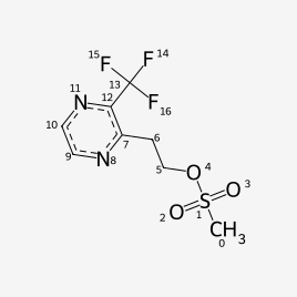 CS(=O)(=O)OCCc1nccnc1C(F)(F)F